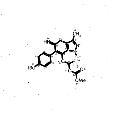 CCn1nc(C)c2c1C(OC(C)OC(=O)OC)=C(c1ccc(C(C)(C)C)cc1)C(=N)C2